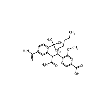 CCCCCC(c1ccc(C(=O)O)cc1OC)C(C(N)=O)c1cc(C(N)=O)ccc1C(C)(C)C